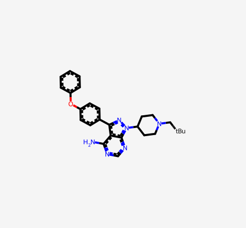 CC(C)(C)CN1CCC(n2nc(-c3ccc(Oc4ccccc4)cc3)c3c(N)ncnc32)CC1